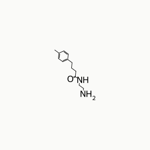 Cc1ccc(CCCC(=O)NCCN)cc1